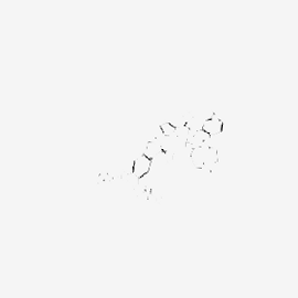 COc1cc2c(cc1OC)C(=O)N(c1ccc(C(=O)Nc3cnccc3N3CCCNCC3)o1)C2